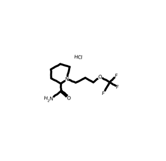 Cl.NC(=O)C1CCCCN1CCCOC(F)(F)F